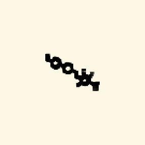 C=CC1CCC(C2CCC(CCc3c(C)cc(C4CO4)c(F)c3F)CC2)CC1